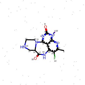 Cc1nc2c3c(nc(=O)n2I)N2CCNCC2C(=O)Nc3c1F